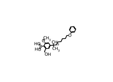 COc1cc(C(C)(C)CCCCCCOc2ccccc2)cc(CO)c1B(O)O